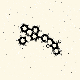 O=C1C(=Cc2ccc(-c3ccc4c5c(cccc35)-c3ccccc3N4c3ccccc3)cn2)C(=O)c2nccnc21